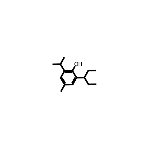 CCC(CC)c1cc(C)cc(C(C)C)c1O